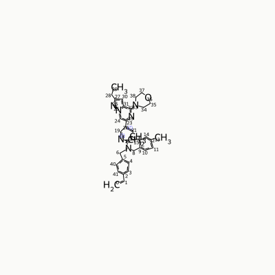 C=Cc1ccc(CN(Cc2ccc(C)cc2)C(=C)/N=C\C(=C/C)c2cn3nc(CC)cc3c(N3CCOCC3)n2)cc1